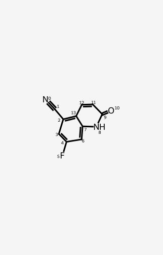 N#Cc1cc(F)cc2[nH]c(=O)ccc12